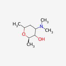 CC1CC(N(C)C)C(O)[C@@H](C)O1